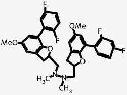 COc1cc2c(c(-c3ccc(F)cc3F)c1)OC(CN(C)N(C)CC1Cc3cc(OC)cc(-c4cc(F)ccc4F)c3O1)C2